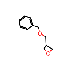 c1ccc(COCC2COC2)cc1